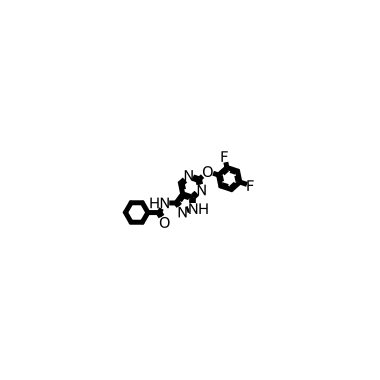 O=C(Nc1n[nH]c2nc(Oc3ccc(F)cc3F)ncc12)C1CCCCC1